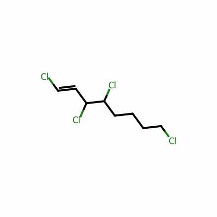 ClC=CC(Cl)C(Cl)CCCCCl